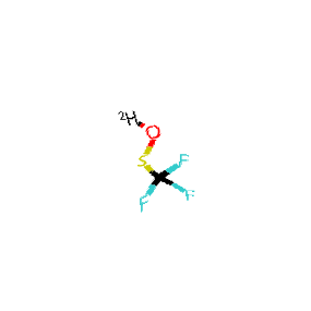 [2H]OSC(F)(F)F